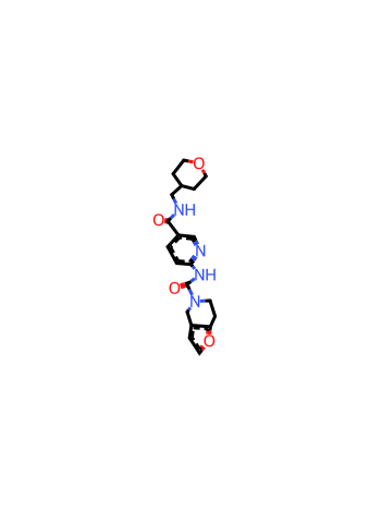 O=C(NCC1CCOCC1)c1ccc(NC(=O)N2CCc3occc3C2)nc1